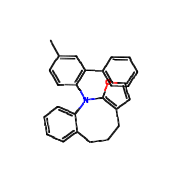 Cc1ccc(N2c3ccccc3CCCc3ccoc32)c(-c2ccccc2)c1